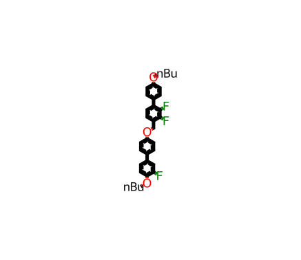 CCCCOc1ccc(-c2ccc(COc3ccc(-c4ccc(OCCCC)c(F)c4)cc3)c(F)c2F)cc1